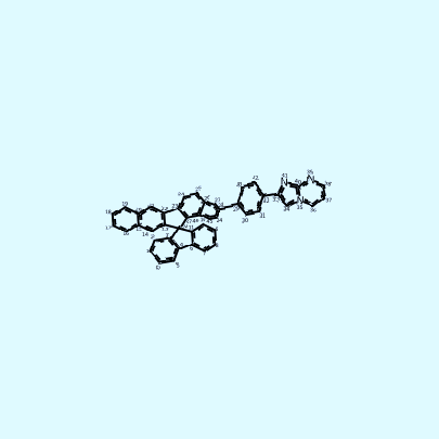 c1ccc2c(c1)-c1ccccc1C21c2cc3ccccc3cc2-c2ccc3cc(-c4ccc(-c5cn6cccnc6n5)cc4)ccc3c21